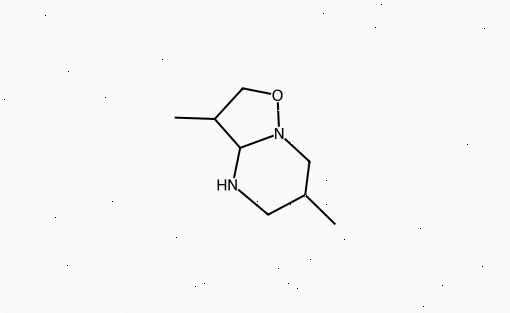 CC1CNC2C(C)CON2C1